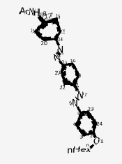 CCCCCCOc1ccc(N=Nc2ccc(N=Nc3ccc(NC(C)=O)cc3)cc2)cc1